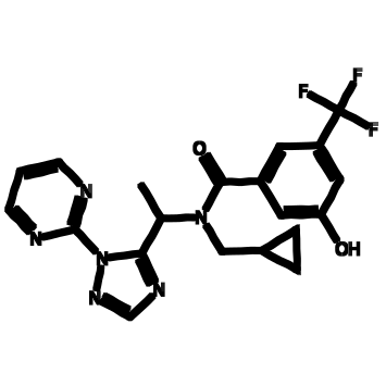 CC(c1ncnn1-c1ncccn1)N(CC1CC1)C(=O)c1cc(O)cc(C(F)(F)F)c1